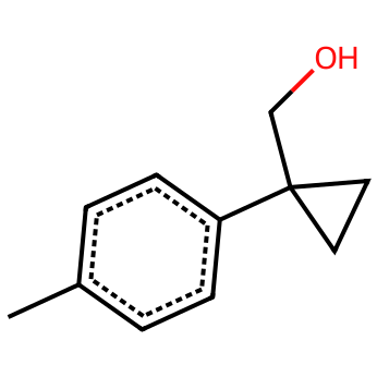 Cc1ccc(C2(CO)CC2)cc1